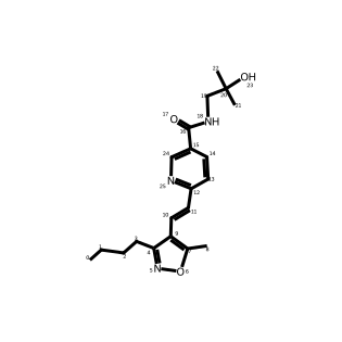 CCCCc1noc(C)c1/C=C/c1ccc(C(=O)NCC(C)(C)O)cn1